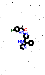 C[C@H](C(=O)Nc1cc(-c2[nH]c3cccnc3c2-c2ccccc2)ccn1)c1ccc(F)cc1